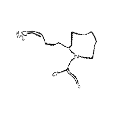 C=CCC1CCCCN1C(=O)Cl